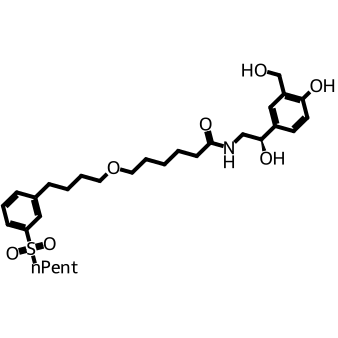 CCCCCS(=O)(=O)c1cccc(CCCCOCCCCCC(=O)NC[C@H](O)c2ccc(O)c(CO)c2)c1